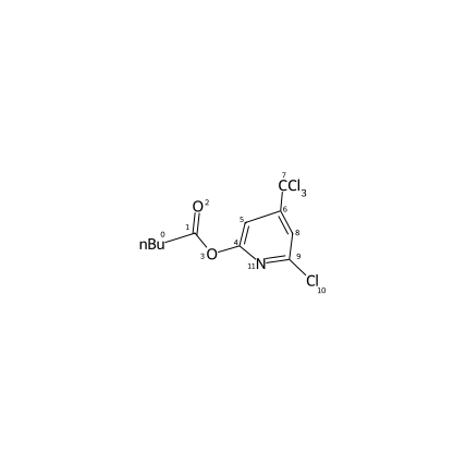 CCCCC(=O)Oc1cc(C(Cl)(Cl)Cl)cc(Cl)n1